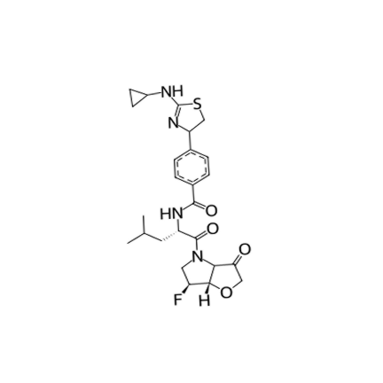 CC(C)C[C@H](NC(=O)c1ccc(C2CSC(NC3CC3)=N2)cc1)C(=O)N1C[C@H](F)[C@H]2OCC(=O)C21